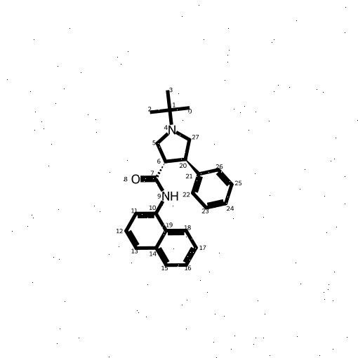 CC(C)(C)N1C[C@@H](C(=O)Nc2cccc3ccccc23)[C@H](c2ccccc2)C1